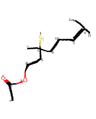 CC(=O)OCCC(C)(S)CCC=C(C)C